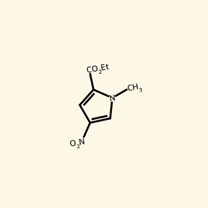 CCOC(=O)c1cc([N+](=O)[O-])cn1C